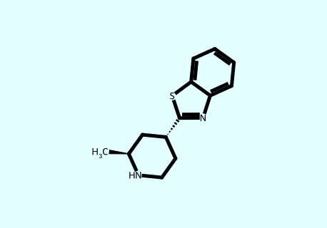 C[C@H]1C[C@H](c2nc3ccccc3s2)CCN1